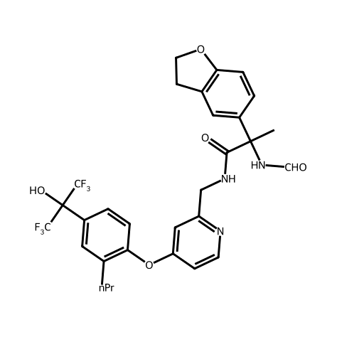 CCCc1cc(C(O)(C(F)(F)F)C(F)(F)F)ccc1Oc1ccnc(CNC(=O)C(C)(NC=O)c2ccc3c(c2)CCO3)c1